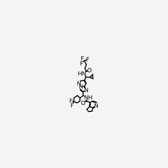 O=C(CCC(F)(F)F)NC(c1cnn2cc([C@@H](NC(=O)c3ccnc4c3CCC4)C3CCC(F)(F)CC3)nc2c1)C1CC1